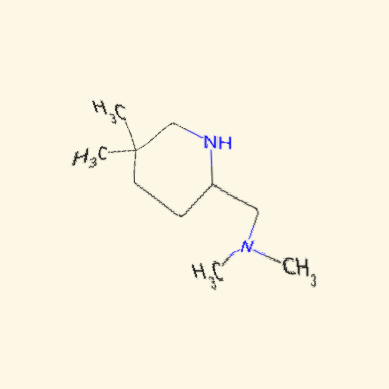 CN(C)CC1CCC(C)(C)CN1